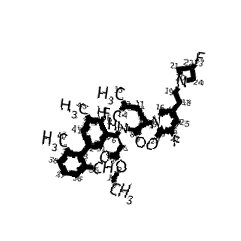 CCOC(=O)C[C@H](NC(=O)C(CC(C)C)n1cc(CCN2CC(F)C2)cc(F)c1=O)c1cc(-c2c(C)cccc2C)cc(C)c1F